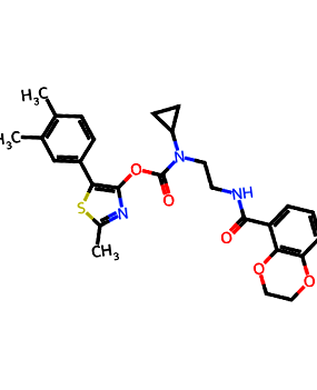 Cc1nc(OC(=O)N(CCNC(=O)c2cccc3c2OCCO3)C2CC2)c(-c2ccc(C)c(C)c2)s1